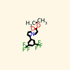 CC(C)OC(=O)/C=C\n1cccc1-c1cc(C(F)(F)F)cc(C(F)(F)F)c1